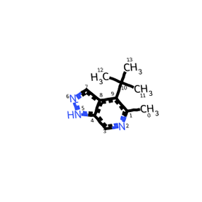 Cc1ncc2[nH]ncc2c1C(C)(C)C